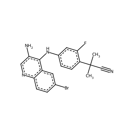 CC(C)(C#N)c1ccc(Nc2c(N)cnc3ccc(Br)cc23)cc1F